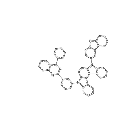 c1ccc(-c2nc(-c3cccc(-n4c5ccccc5c5c6c7ccccc7n(-c7ccc8oc9ccccc9c8c7)c6ccc54)c3)nc3ccccc23)cc1